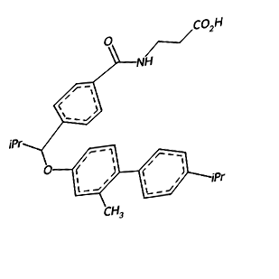 Cc1cc(OC(c2ccc(C(=O)NCCC(=O)O)cc2)C(C)C)ccc1-c1ccc(C(C)C)cc1